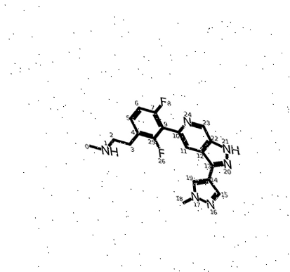 CNCCc1ccc(F)c(-c2cc3c(-c4cnn(C)c4)n[nH]c3cn2)c1F